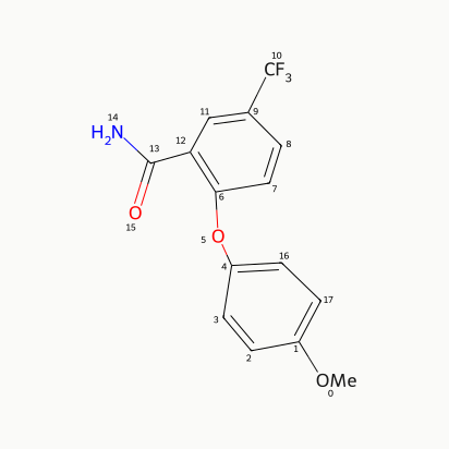 COc1ccc(Oc2ccc(C(F)(F)F)cc2C(N)=O)cc1